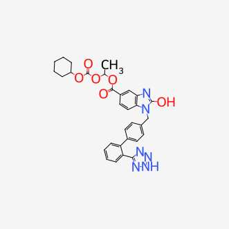 CC(OC(=O)OC1CCCCC1)OC(=O)c1ccc2c(c1)nc(O)n2Cc1ccc(-c2ccccc2-c2nn[nH]n2)cc1